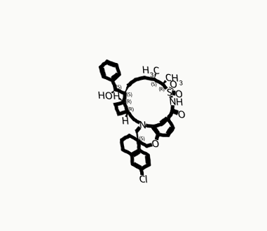 C[C@@H]1[C@@H](C)CCC[C@H]([C@H](O)c2ccccc2)[C@@H]2CC[C@H]2CN2C[C@@]3(CCCc4cc(Cl)ccc43)COc3ccc(cc32)C(=O)NS1(=O)=O